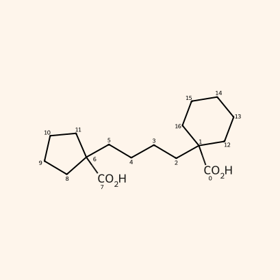 O=C(O)C1(CCCCC2(C(=O)O)CCCC2)CCCCC1